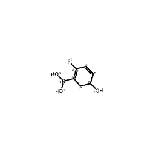 OB(O)C1=C(F)C=CC(O)C1